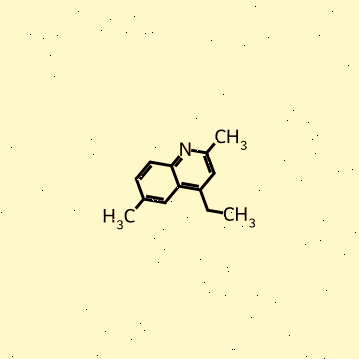 CCc1cc(C)nc2ccc(C)cc12